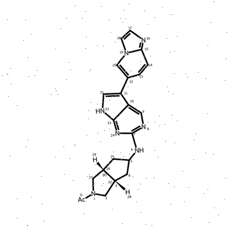 CC(=O)N1C[C@H]2CC(Nc3ncc4c(-c5ccc6nccn6c5)c[nH]c4n3)C[C@H]2C1